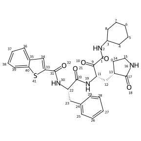 O=C(NC1CCCCC1)C(=O)[C@H](C[C@@H]1CCNC1=O)NC(=O)[C@H](Cc1ccccc1)NC(=O)c1cc2ccccc2s1